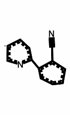 N#Cc1ccccc1-c1cc[c]cn1